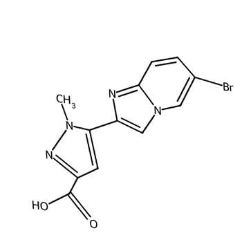 Cn1nc(C(=O)O)cc1-c1cn2cc(Br)ccc2n1